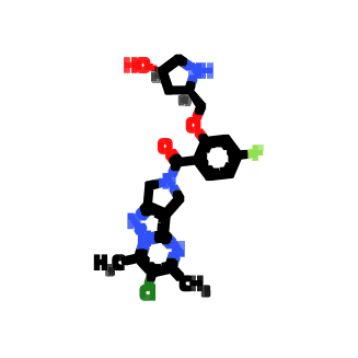 Cc1nc2c3c(nn2c(C)c1Cl)CN(C(=O)c1ccc(F)cc1OC[C@H]1C[C@H](O)CN1)C3